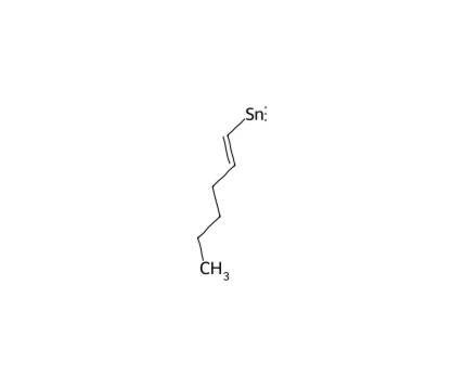 CCCCC=[CH][Sn]